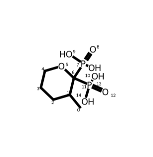 CC1CCCOC1(P(=O)(O)O)P(=O)(O)O